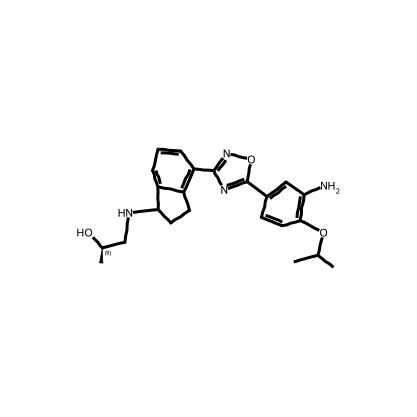 CC(C)Oc1ccc(-c2nc(-c3cccc4c3CCC4NC[C@@H](C)O)no2)cc1N